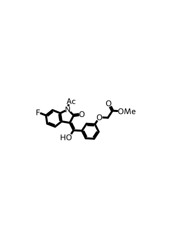 COC(=O)COc1cccc(C(O)=C2C(=O)N(C(C)=O)c3cc(F)ccc32)c1